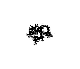 C=CCC(C)C(C)S(=O)(=NC(=O)c1ccc2c(c1)N(CC1CCC1C(C=C)OC(C)=O)Cc1ccc(Cl)cc1CCCCO2)NC(=O)C(F)(F)F